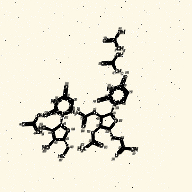 CC(=O)O.CC(=O)O.CC(=O)O.CC(=O)O[C@@H]1[C@H](OC(C)=O)[C@@H](CCC(=O)O)O[C@H]1n1ccc(=O)[nH]c1=O.O=c1ccn([C@@H]2O[C@H](CO)[C@@H](O)[C@H]2O)c(=O)[nH]1